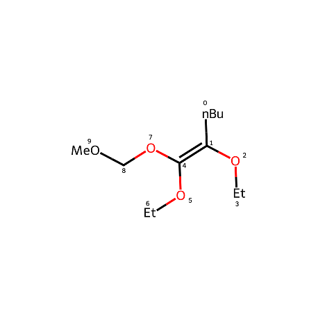 CCCCC(OCC)=C(OCC)OCOC